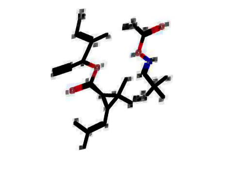 C#CC(OC(=O)[C@@H]1C(C=C(C)C)C1(C)C)/C(C)=C/CC.CNC(=O)O/N=C/C(C)(C)SC